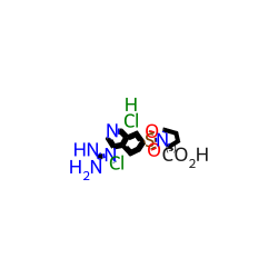 Cl.N=C(N)N(Cl)c1cncc2cc(S(=O)(=O)N3CCC[C@H]3C(=O)O)ccc12